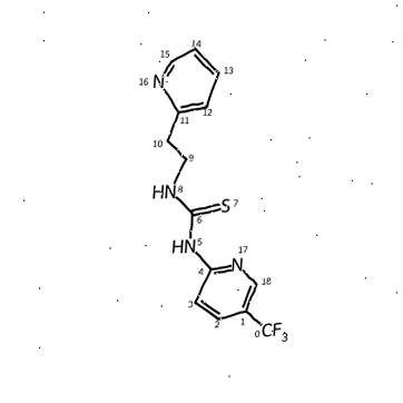 FC(F)(F)c1ccc(NC(=S)NCCc2ccccn2)nc1